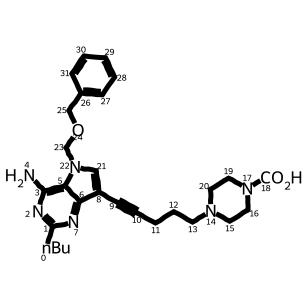 CCCCc1nc(N)c2c(n1)c(C#CCCCN1CCN(C(=O)O)CC1)cn2COCc1ccccc1